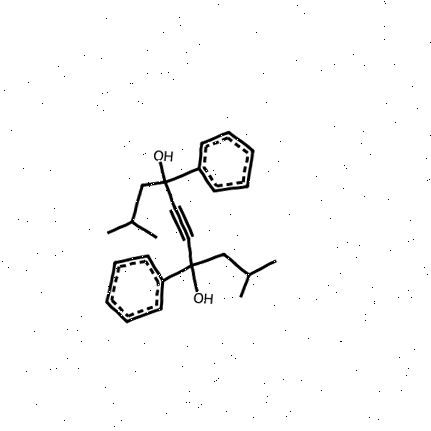 CC(C)CC(O)(C#CC(O)(CC(C)C)c1ccccc1)c1ccccc1